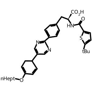 CCCCCCCOC1=CCC(c2cnc(-c3ccc(C[C@H](NC(=O)c4ccc(C(C)(C)C)s4)C(=O)O)cc3)nc2)C=C1